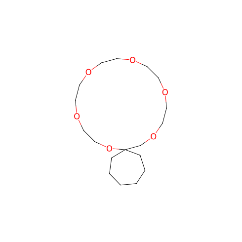 C1CCCC2(CC1)COCCOCCOCCOCCOCCO2